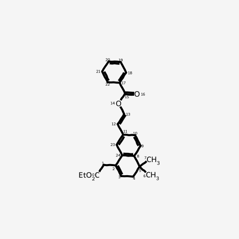 CCOC(=O)CC1=CCC(C)(C)c2ccc(C=COC(=O)c3ccccc3)cc21